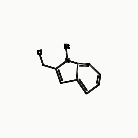 CCn1c(CCl)cc2ccccc21